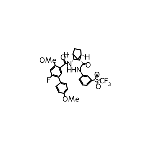 COc1ccc(-c2cc(C(=O)N[C@@H]3[C@H]4CC[C@H](C4)[C@@H]3C(=O)Nc3cccc(S(=O)(=O)C(F)(F)F)c3)c(OC)cc2F)cc1